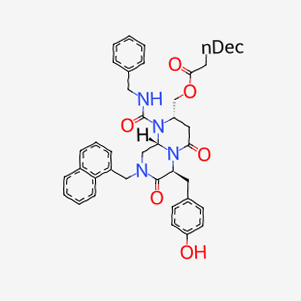 CCCCCCCCCCCC(=O)OC[C@@H]1CC(=O)N2[C@H](CN(Cc3cccc4ccccc34)C(=O)[C@@H]2Cc2ccc(O)cc2)N1C(=O)NCc1ccccc1